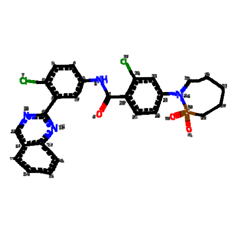 O=C(Nc1ccc(Cl)c(-c2ncc3ccccc3n2)c1)c1ccc(N2CCCCCS2(=O)=O)cc1Cl